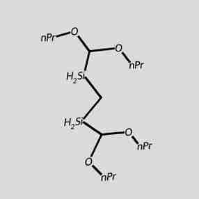 CCCOC(OCCC)[SiH2]C[SiH2]C(OCCC)OCCC